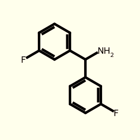 NC(c1cccc(F)c1)c1cccc(F)c1